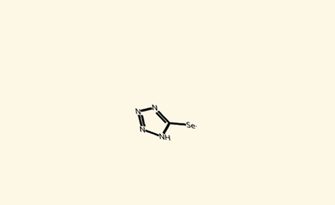 [Se]c1nnn[nH]1